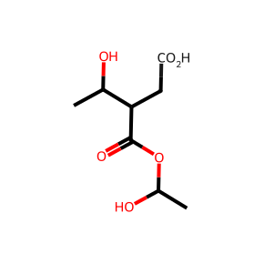 CC(O)OC(=O)C(CC(=O)O)C(C)O